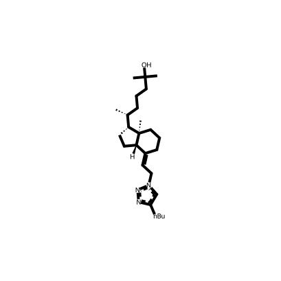 CCCCc1cn(C/C=C2\CCC[C@]3(C)[C@@H]([C@H](C)CCCC(C)(C)O)CC[C@@H]23)nn1